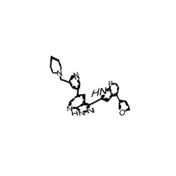 c1cc(-c2ccoc2)c2cc(-c3n[nH]c4ncc(-c5cncc(CN6CCCCC6)c5)cc34)[nH]c2n1